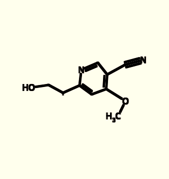 COc1cc([CH]CO)ncc1C#N